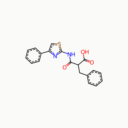 O=C(O)C(Cc1ccccc1)C(=O)Nc1nc(-c2ccccc2)cs1